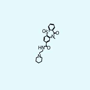 CN1C(=O)c2ccccc2[S+]([O-])c2ccc(C(=O)NCCN3CCCCC3)cc21